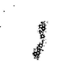 O=C(Nc1ccc(S(=O)(=O)Nc2c(O)ccc3c(S(=O)(=O)O)cccc23)cc1)Nc1ccc(S(=O)(=O)Nc2c(O)ccc3c(S(=O)(=O)O)cccc23)cc1